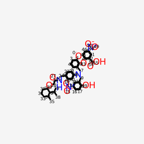 COc1cccc(CN(Cc2cc([N+](=O)[O-])ccc2O)c2ccc(CNC(=O)COC3CCCC(C)C3C(C)C)cc2)c1Oc1ccc([N+](=O)[O-])cc1C(=O)O